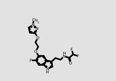 Cn1ccc(OCCOc2cc3c(CCNC(=O)C(F)F)c[nH]c3cc2F)n1